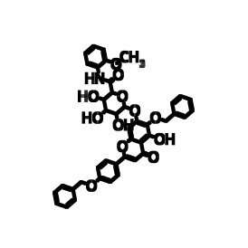 COc1ccccc1NC(=O)C1OC(Oc2cc3oc(-c4ccc(OCc5ccccc5)cc4)cc(=O)c3c(O)c2OCc2ccccc2)C(O)C(O)C1O